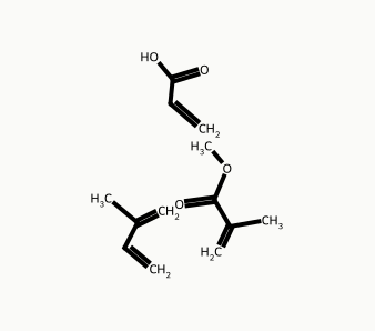 C=C(C)C(=O)OC.C=CC(=C)C.C=CC(=O)O